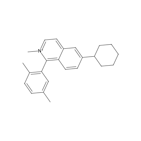 Cc1ccc(C)c(-c2c3ccc(C4CCCCC4)cc3cc[n+]2C)c1